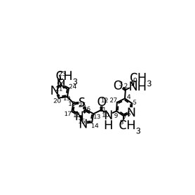 CNC(=O)c1cnc(C)c(NC(=O)c2cnn3cc(-c4cnn(C)c4)sc23)c1